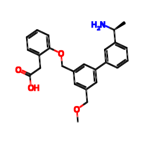 COCc1cc(COc2ccccc2CC(=O)O)cc(-c2cccc([C@H](C)N)c2)c1